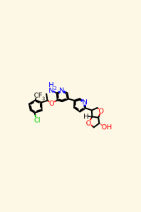 CC(Oc1cc(-c2ccc(C3COC4[C@@H]3OC[C@H]4O)nc2)cnc1N)c1cc(Cl)ccc1C(F)(F)F